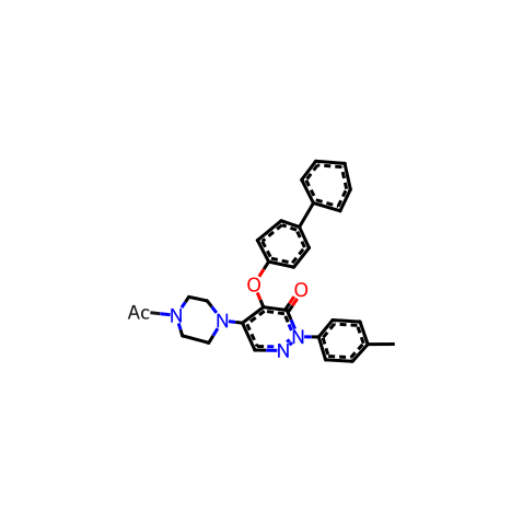 CC(=O)N1CCN(c2cnn(-c3ccc(C)cc3)c(=O)c2Oc2ccc(-c3ccccc3)cc2)CC1